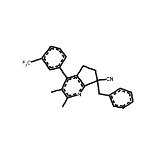 Cc1nc2c(c(-c3cccc(C(F)(F)F)c3)c1C)CCC2(C#N)Cc1ccccc1